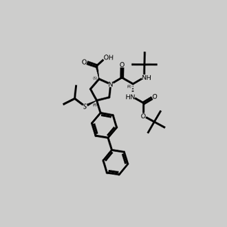 CC(C)S[C@@]1(c2ccc(-c3ccccc3)cc2)C[C@@H](C(=O)O)N(C(=O)[C@@H](NC(=O)OC(C)(C)C)NC(C)(C)C)C1